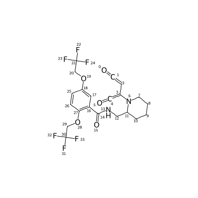 O=C=CC(=C=O)N1CCCCC1CNC(=O)c1cc(OCC(F)(F)F)ccc1OCC(F)(F)F